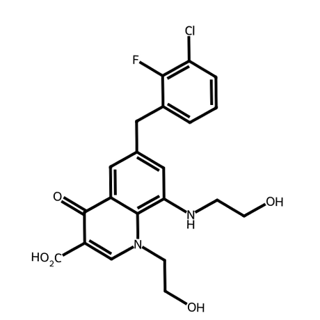 O=C(O)c1cn(CCO)c2c(NCCO)cc(Cc3cccc(Cl)c3F)cc2c1=O